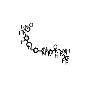 CC(C)(c1n[nH]c(CNC(=O)c2cnn(-c3ncc(-c4ccc(CN5CCC(c6ccc(NC7CCC(=O)NC7=O)cc6F)CC5)cc4)cn3)c2)n1)C(F)(F)F